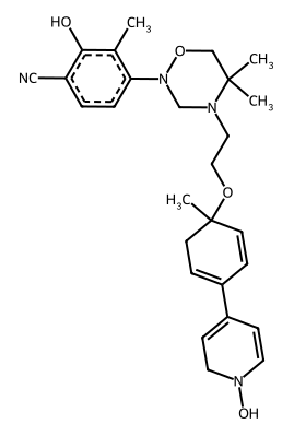 Cc1c(N2CN(CCOC3(C)C=CC(C4=CCN(O)C=C4)=CC3)C(C)(C)CO2)ccc(C#N)c1O